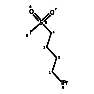 CC(C)CCCCS(=O)(=O)I